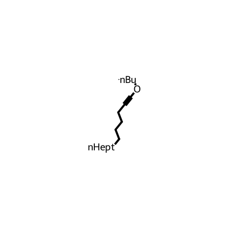 CCC[CH]OC#CCCCCCCCCCCC